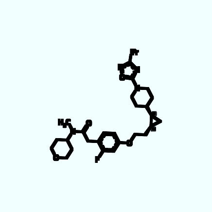 CC(C)c1noc(N2CCC([C@H]3C[C@H]3CCOc3ccc(CC(=O)N(C)C4CCOCC4)c(F)c3)CC2)n1